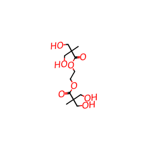 CC(CO)(CO)C(=O)OCCOC(=O)C(C)(CO)CO